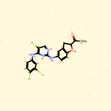 COC(=O)C1Cc2cc(Nc3ncc(F)c(Nc4ccc(F)c(F)c4)n3)ccc2O1